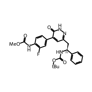 COC(=O)Nc1ccc(-c2cc(C[C@H](NC(=O)OC(C)(C)C)c3ccccc3)n[nH]c2=O)cc1F